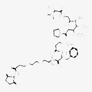 CCCCN(C(=O)CNC(=O)[C@H](C(C)C)N(C)C)C(C(CC(=O)N1CCC[C@H]1C(OC)[C@@H](C)C(=O)N[C@@H](Cc1ccccc1)C(=O)NCCOCCOCCC(=O)ON1C(=O)CCC1=O)OC)[C@H](C)CC